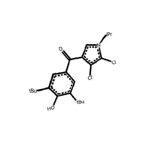 CC(C)n1cc(C(=O)c2cc(C(C)(C)C)c(O)c(C(C)(C)C)c2)c(Cl)c1Cl